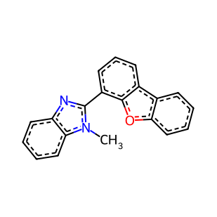 Cn1c(-c2cccc3c2oc2ccccc23)nc2ccccc21